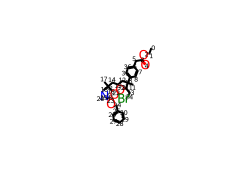 CCOC(=O)Cc1ccc(C(C)(CCCC(C)(C)CN(C)C(=O)OCc2ccccc2)C(=O)CBr)cc1